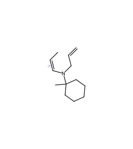 C=CCN(/C=C\C)C1(C)CCCCC1